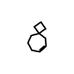 C1=CCC2(CCC1)CCC2